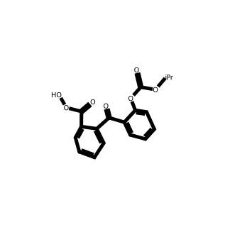 CC(C)OC(=O)Oc1ccccc1C(=O)c1ccccc1C(=O)OO